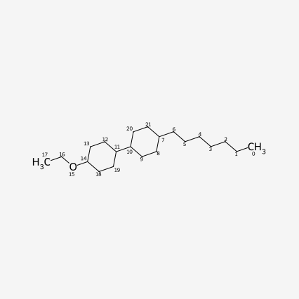 CCCCCCCC1CCC(C2CCC(OCC)CC2)CC1